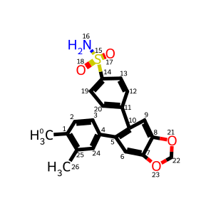 Cc1ccc(-c2cc3c(cc2-c2ccc(S(N)(=O)=O)cc2)OCO3)cc1C